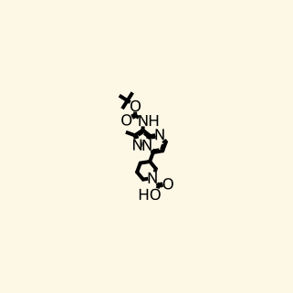 Cc1nn2c(C3CCCN(C(=O)O)C3)ccnc2c1NC(=O)OC(C)(C)C